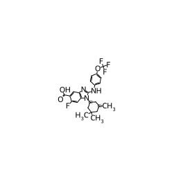 C[C@@H]1C[C@H](n2c(Nc3ccc(OC(F)(F)F)cc3)nc3cc(C(=O)O)c(F)cc32)CC(C)(C)C1